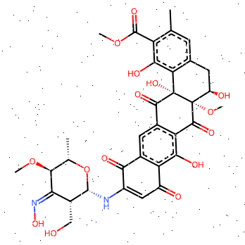 COC(=O)c1c(C)cc2c(c1O)[C@]1(O)C(=O)c3cc4c(c(O)c3C(=O)[C@]1(OC)[C@H](O)C2)C(=O)C=C(N[C@H]1O[C@@H](C)[C@H](OC)C(=NO)[C@H]1CO)C4=O